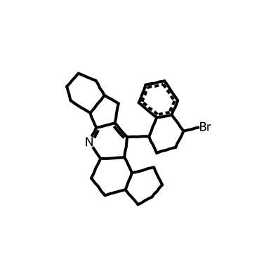 BrC1CCC(C2=C3CC4CCCCC4C3=NC3CCC4CCCCC4C23)c2ccccc21